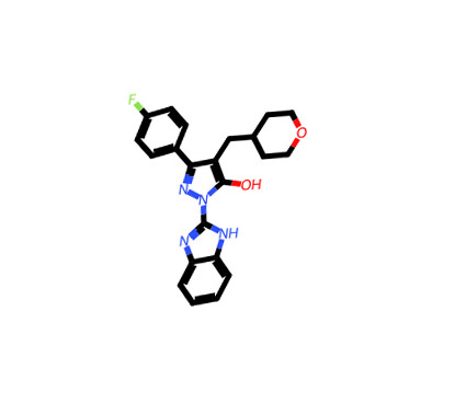 Oc1c(CC2CCOCC2)c(-c2ccc(F)cc2)nn1-c1nc2ccccc2[nH]1